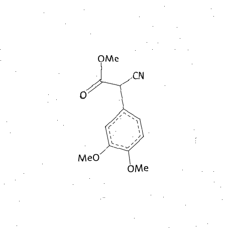 COC(=O)C(C#N)c1ccc(OC)c(OC)c1